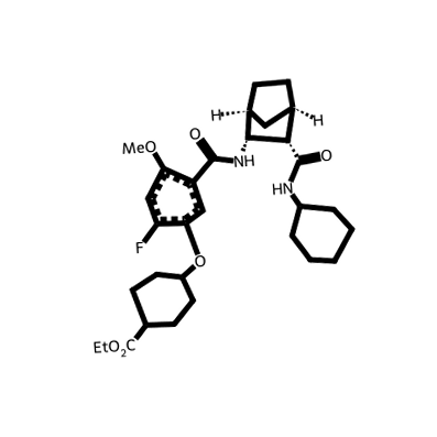 CCOC(=O)C1CCC(Oc2cc(C(=O)N[C@@H]3[C@H]4CC[C@H](C4)[C@@H]3C(=O)NC3CCCCC3)c(OC)cc2F)CC1